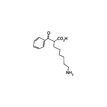 NCCCCCCC(C(=O)O)C(=O)c1ccccc1